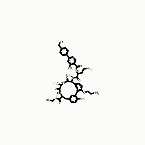 Cc1cc(-c2ccc(CC(C)C)cc2)ncc1C(=O)NC(CCN)C(=O)N(C)C1C(=O)NC(C)C(=O)NC(C(=O)NCC#N)Cc2ccc(O)c(c2)-c2cc1ccc2OCCN